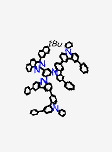 CC(C)(C)c1ccc2cc(-c3nc(-c4cc(-n5c6ccc(-c7ccccc7)cc6c6cc(-c7ccc8c(c7)c7cc(-c9ccccc9)ccc7n8-c7ccccc7)ccc65)cc(-n5c6ccc(-c7ccccc7)cc6c6cc(-c7ccc8c(c7)c7cc(-c9ccccc9)ccc7n8-c7ccccc7)ccc65)c4)nc4c3ccc3ccccc34)ccc2c1